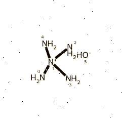 N[N+](N)(N)N.[OH-]